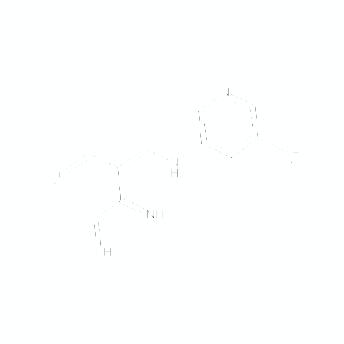 C=CC(=N)/C(C=C)=C\Nc1cncc(S)c1